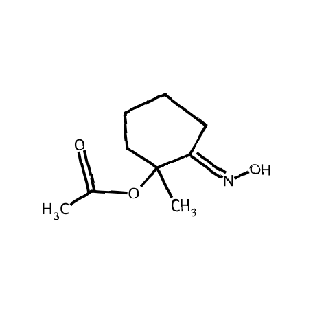 CC(=O)OC1(C)CCCC/C1=N\O